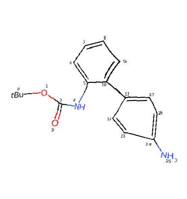 CC(C)(C)OC(=O)Nc1ccccc1-c1ccc(N)cc1